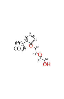 CC(C)C(C(=O)O)c1ccccc1OCCOCCO